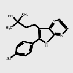 CC(C)(O)CCc1c(-c2ccc(C(C)(C)C)cc2)[nH]c2nccnc12